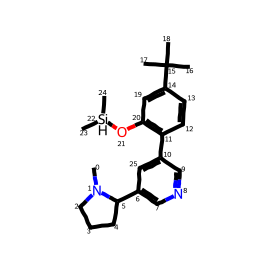 CN1CCCC1c1cncc(-c2ccc(C(C)(C)C)cc2O[SiH](C)C)c1